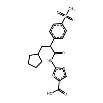 CS(=O)(=O)c1ccc(C(CC2CCCC2)C(=O)Nc2ncc(C(=O)O)s2)cc1